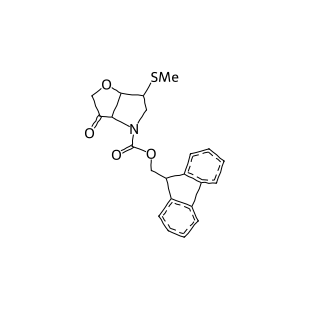 CSC1CN(C(=O)OCC2c3ccccc3-c3ccccc32)C2C(=O)COC12